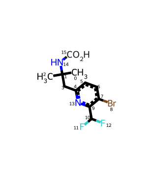 CC(C)(Cc1ccc(Br)c(C(F)F)n1)NC(=O)O